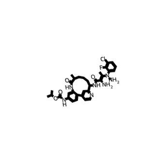 C/C(=C(/N)C(=O)NC1CCCC(C)C(=O)Nc2cc(NC(=O)OC(C)C)ccc2-c2ccnc1c2)N(N)c1cccc(Cl)c1F